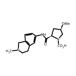 CO[C@@H]1C[C@H](C(=O)Nc2ccc3c(c2)CCN(C)C3)N(C(=O)O)C1